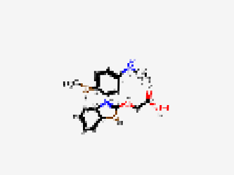 CNc1ccc(SC)cc1.O=C(O)COc1nc2ccccc2s1